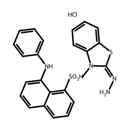 Cl.Cn1c(=NN)sc2ccccc21.O=S(=O)(O)c1cccc2cccc(Nc3ccccc3)c12